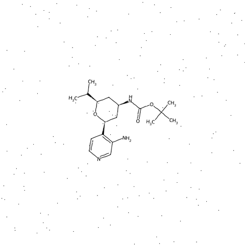 CC(C)[C@H]1C[C@@H](NC(=O)OC(C)(C)C)C[C@@H](c2ccncc2N)O1